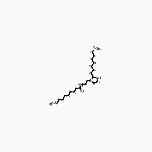 CCCCCCCCCCCCCCCCCC(=O)NCCN1CCNC1CCCCCCCCCCCCCCCCC